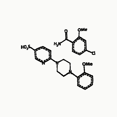 COc1cc(Cl)ccc1C(N)=O.COc1ccccc1N1CCN(c2ccc(S(=O)(=O)O)cn2)CC1